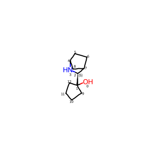 OC1([C@H]2NC3CCC2C3)CCCC1